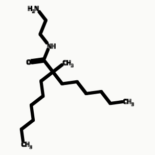 CCCCCCC(C)(CCCCCC)C(=O)NCCN